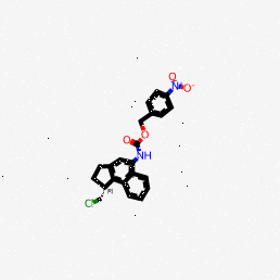 O=C(Nc1cc2c(c3ccccc13)[C@H](CCl)CC2)OCc1ccc([N+](=O)[O-])cc1